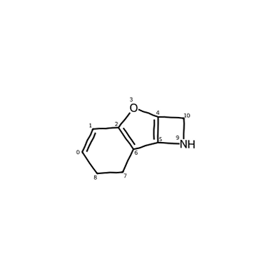 C1=Cc2oc3c(c2CC1)NC3